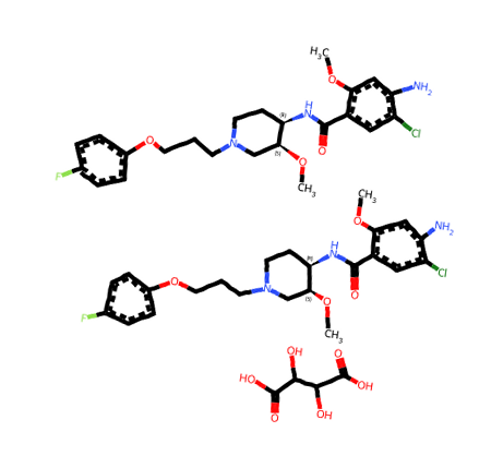 COc1cc(N)c(Cl)cc1C(=O)N[C@@H]1CCN(CCCOc2ccc(F)cc2)C[C@@H]1OC.COc1cc(N)c(Cl)cc1C(=O)N[C@@H]1CCN(CCCOc2ccc(F)cc2)C[C@@H]1OC.O=C(O)C(O)C(O)C(=O)O